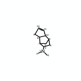 CN(C)C1CC2CC1C1CC=CC21